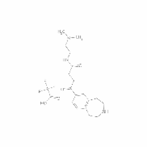 CN(C)CCNC(=O)CCC(=O)c1ccc2c(c1)CCNCC2.O=C(O)C(F)(F)F